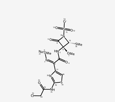 CON=C(C(=O)N[C@]1(OC)C(=O)N(S(=O)(=O)[O-])[C@@H]1SC)c1csc(NC(=O)CCl)n1.[Na+]